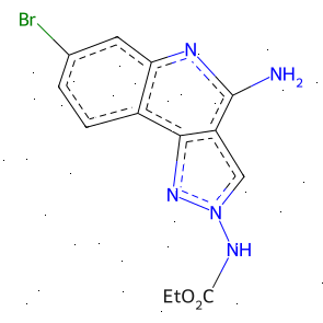 CCOC(=O)Nn1cc2c(N)nc3cc(Br)ccc3c2n1